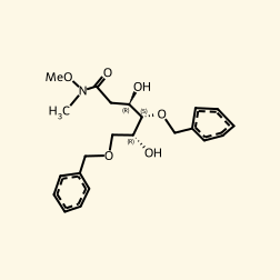 CON(C)C(=O)C[C@@H](O)[C@H](OCc1ccccc1)[C@H](O)COCc1ccccc1